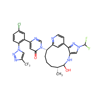 C[C@@H]1CCC[C@H](n2cnc(-c3cc(Cl)ccc3-n3cc(C(F)(F)F)nn3)cc2=O)c2cc(ccn2)-c2nn(C(F)F)cc2NC1O